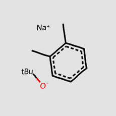 CC(C)(C)[O-].Cc1ccccc1C.[Na+]